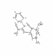 CN(C)/C=C(/C=C(\Sc1ccccc1)C(=O)O)C(=O)C(=O)O